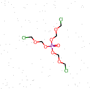 O=P(OCOCCl)(OCOCCl)OCOCCl